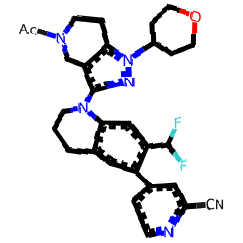 CC(=O)N1CCc2c(c(N3CCCc4cc(-c5ccnc(C#N)c5)c(C(F)F)cc43)nn2C2CCOCC2)C1